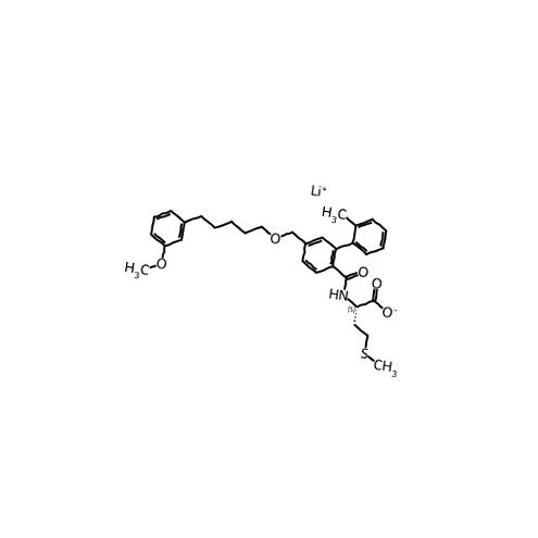 COc1cccc(CCCCCOCc2ccc(C(=O)N[C@@H](CCSC)C(=O)[O-])c(-c3ccccc3C)c2)c1.[Li+]